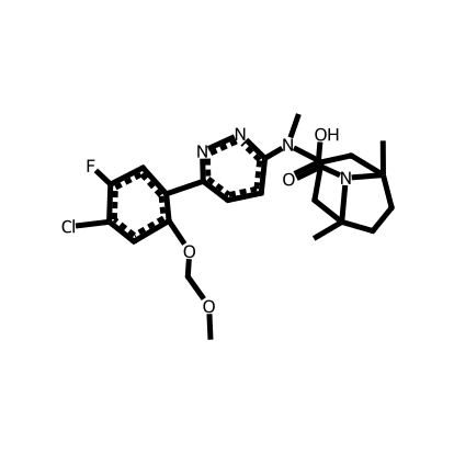 COCOc1cc(Cl)c(F)cc1-c1ccc(N(C)C2CC3(C)CCC(C)(C2)N3C(=O)O)nn1